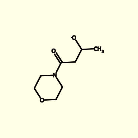 CC([O])CC(=O)N1CCOCC1